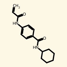 C=CC(=O)Nc1ccc(C(=O)NC2CCCCC2)cc1